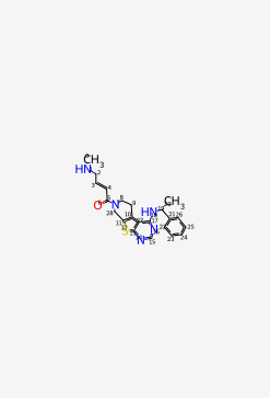 CNC/C=C/C(=O)N1CCc2c(sc3ncnc(N[C@H](C)c4ccccc4)c23)C1